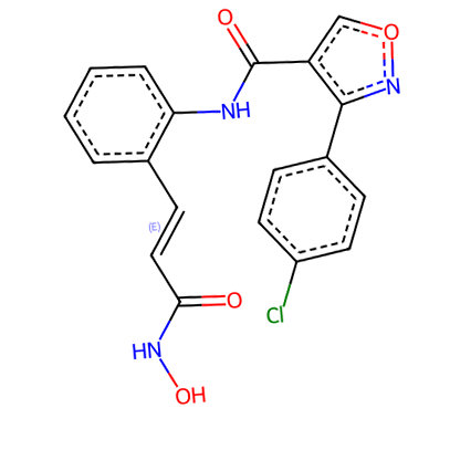 O=C(/C=C/c1ccccc1NC(=O)c1conc1-c1ccc(Cl)cc1)NO